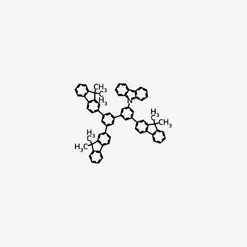 CC1(C)c2ccccc2-c2ccc(-c3cc(-c4cc(-c5ccc6c(c5)C(C)(C)c5ccccc5-6)cc(-n5c6ccccc6c6ccccc65)c4)cc(-c4ccc5c(c4)C(C)(C)c4ccccc4-5)c3)cc21